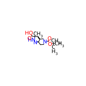 CC(C)(C)OC(=O)N1CCC2=NNC(C)(C(=O)O)C=C2C1